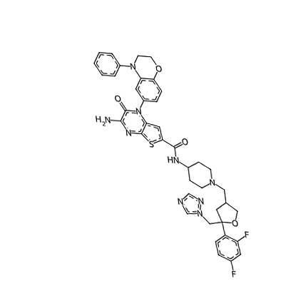 Nc1nc2sc(C(=O)NC3CCN(CC4COC(Cn5cncn5)(c5ccc(F)cc5F)C4)CC3)cc2n(-c2ccc3c(c2)N(c2ccccc2)CCO3)c1=O